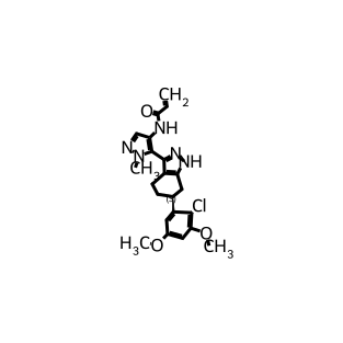 C=CC(=O)Nc1cnn(C)c1-c1n[nH]c2c1CC[C@H](c1cc(OC)cc(OC)c1Cl)C2